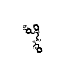 O=C(CCc1nc2cccnc2n1Cc1ccc(OC(F)(F)F)cc1)NC(CO)Cc1ccccc1